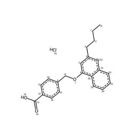 CCCCc1cc(OCc2ccc(C(=O)O)cc2)c2ccccc2n1.Cl